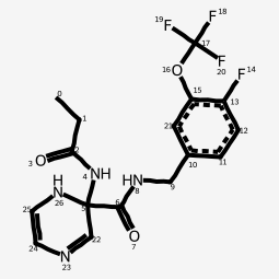 CCC(=O)NC1(C(=O)NCc2ccc(F)c(OC(F)(F)F)c2)C=NC=CN1